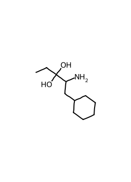 CCC(O)(O)C(N)CC1CCCCC1